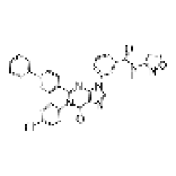 O=C(Nc1ccon1)c1cccc(-n2cnc3c(=O)n(-c4ccc(Cl)cc4)c(-c4ccc(-c5ccccc5)cc4)nc32)c1